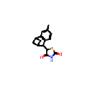 Cc1ccc2c(c1)C1CC(C1)C2C1SC(=O)NC1=O